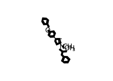 CN(CC(CO)Cc1ccccc1)[C@H]1CC[C@H](c2ccc(OCc3ccccc3)cc2)CC1